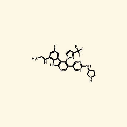 CCNc1cc(F)cc2c1[nH]c1ncc(-c3cnc(NC4CCNC4)nc3)c(-n3ccc(C(F)(F)F)n3)c12